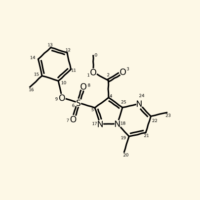 COC(=O)c1c(S(=O)(=O)Oc2ccccc2C)nn2c(C)cc(C)nc12